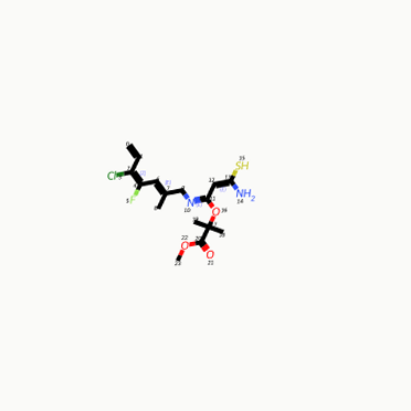 C=C/C(Cl)=C(F)\C=C(/C)C/N=C(\C=C(/N)S)OC(C)(C)C(=O)OC